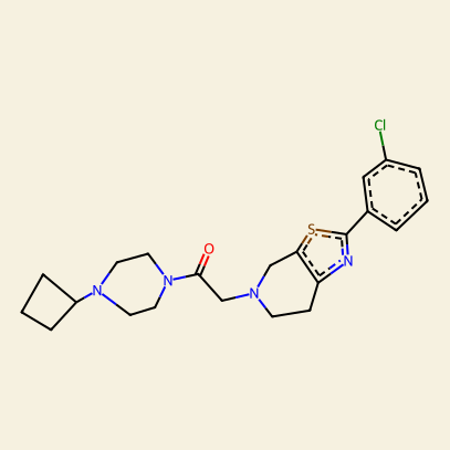 O=C(CN1CCc2nc(-c3cccc(Cl)c3)sc2C1)N1CCN(C2CCC2)CC1